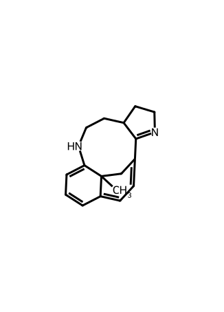 CC12CC3=CC=C1C=CC=C2NCCC1CCN=C31